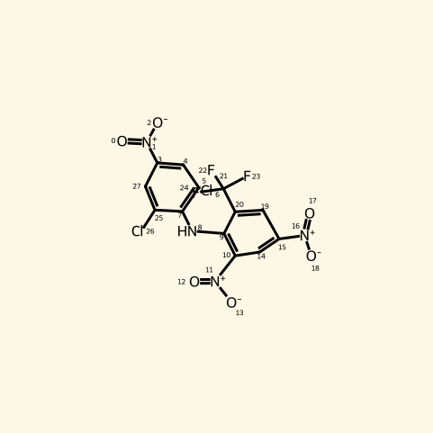 O=[N+]([O-])c1cc(Cl)c(Nc2c([N+](=O)[O-])cc([N+](=O)[O-])cc2C(F)(F)F)c(Cl)c1